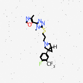 Cc1ncoc1-c1nnc(SCCCN2C[C@@H]3C[C@]3(c3ccc(F)c(C(F)(F)F)c3)C2)n1C